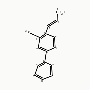 O=C(O)C=Cc1ccc(-c2cc[c]cc2)cc1F